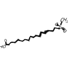 CCS(=O)(=O)CCCCCCCCCCCCCCCCCC(=O)O